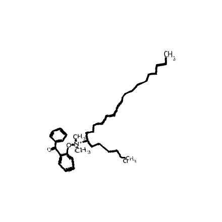 CCCCCCCCCCCCCCCCCC(CCCCCC)[N+](C)(C)Oc1ccccc1C(=O)c1ccccc1.[Cl-]